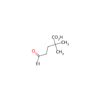 CCC(=O)CCC(C)(C)C(=O)O